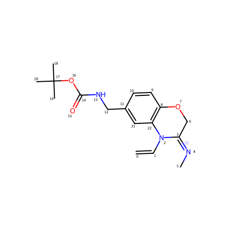 C=CN1/C(=N\C)COc2ccc(CNC(=O)OC(C)(C)C)cc21